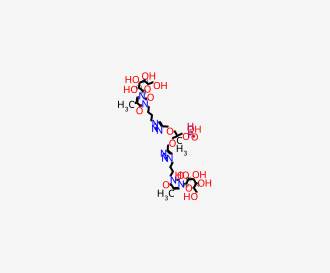 Cc1cn([C@@H]2OC(CO)[C@H](O)C(O)[C@@H]2O)c(=O)n(CCCCn2cc(COCC(C)(COCc3cn(CCCCn4c(=O)c(C)cn([C@@H]5OC(CO)[C@H](O)C(O)[C@@H]5O)c4=O)nn3)CO[PH](=O)O)nn2)c1=O